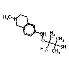 CN1CCc2cc(BOC(C)(C)C(C)(C)S)ccc2C1